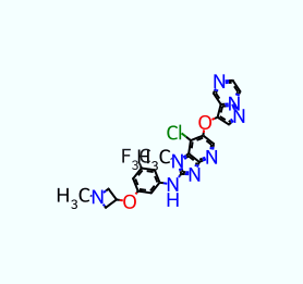 CN1CC(Oc2cc(Nc3nc4ncc(Oc5cnn6ccncc56)c(Cl)c4n3C)cc(C(F)(F)F)c2)C1